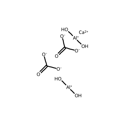 O=C([O-])[O-].O=C([O-])[O-].[Ca+2].[OH][Al+][OH].[OH][Al+][OH]